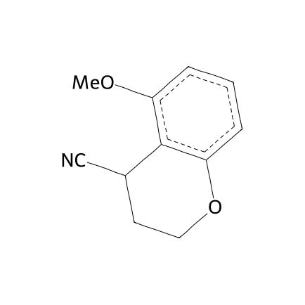 COc1cccc2c1C(C#N)CCO2